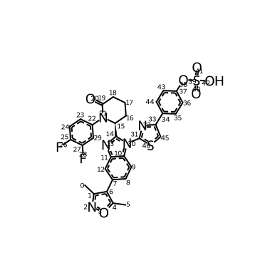 Cc1noc(C)c1-c1ccc2c(c1)nc([C@@H]1CCCC(=O)N1c1ccc(F)c(F)c1)n2-c1nc(-c2ccc(OS(=O)(=O)O)cc2)cs1